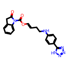 O=C1Cc2ccccc2N1C(=O)OC=CCCNc1ccc(-c2nnn[nH]2)cc1